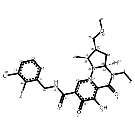 CCN1C(=O)c2c(O)c(=O)c(C(=O)NCc3cccc(Cl)c3F)cn2N2[C@@H](C)[C@@H](COC)C[C@@H]12